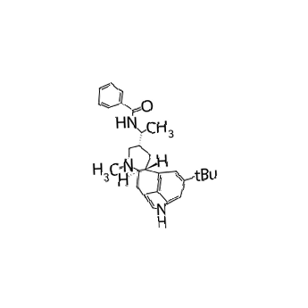 CC(NC(=O)c1ccccc1)[C@@H]1C[C@@H]2c3cc(C(C)(C)C)cc4[nH]cc(c34)C[C@H]2N(C)C1